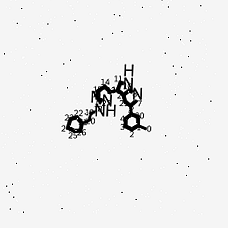 Cc1cccc(-c2cnc3[nH]cc(-c4ccnc(NCCc5ccccc5)n4)c3c2)c1